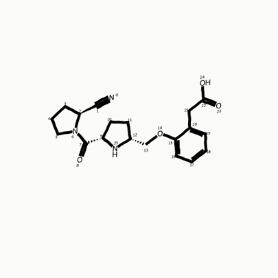 N#C[C@@H]1CCCN1C(=O)[C@@H]1CC[C@H](COc2ccccc2CC(=O)O)N1